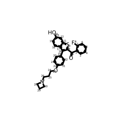 O=C(c1ccccc1F)c1sc2cc(O)ccc2c1-c1ccc(OCCCN2CCC2)cc1